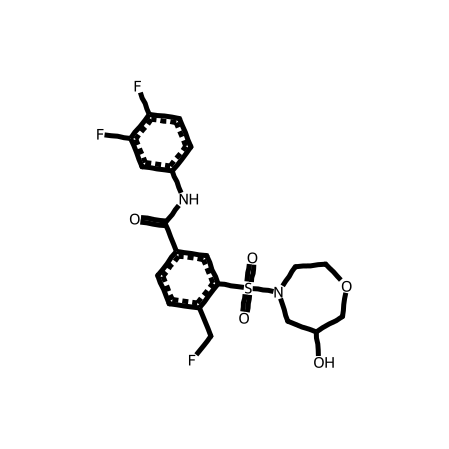 O=C(Nc1ccc(F)c(F)c1)c1ccc(CF)c(S(=O)(=O)N2CCOCC(O)C2)c1